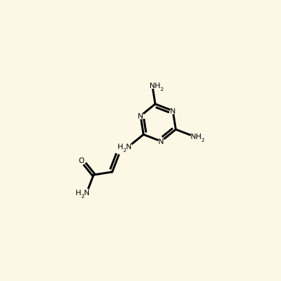 C=CC(N)=O.Nc1nc(N)nc(N)n1